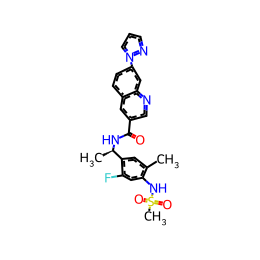 Cc1cc([C@@H](C)NC(=O)c2cnc3cc(-n4cccn4)ccc3c2)c(F)cc1NS(C)(=O)=O